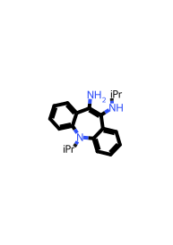 CC(C)NC1=C(N)c2ccccc2N(C(C)C)c2ccccc21